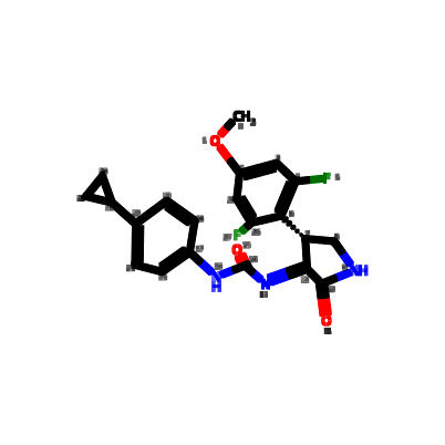 COc1cc(F)c([C@@H]2CNC(=O)/C2=N/C(=O)Nc2ccc(C3CC3)cc2)c(F)c1